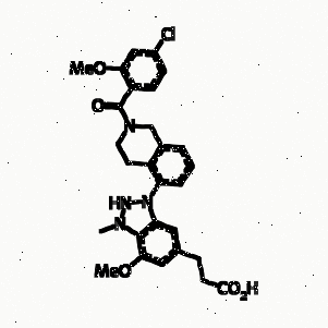 COc1cc(Cl)ccc1C(=O)N1CCc2c(cccc2N2NN(C)c3c(OC)cc(CCC(=O)O)cc32)C1